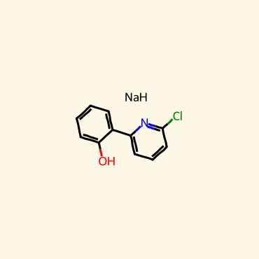 Oc1ccccc1-c1cccc(Cl)n1.[NaH]